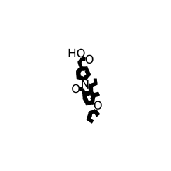 C=C(/C=C\C)Oc1ccc2c(c1=C)=C(CC)N(c1ccc(CC(=O)O)cc1)C2=O